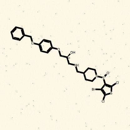 [O-][S+](c1c(Cl)sc(Cl)c1Br)N1CCC(CNC[C@H](O)COc2ccc(OCc3ccccc3)cc2)CC1